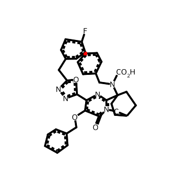 O=C(O)N(Cc1ccccc1)C12CCC(CC1)Cn1c2nc(-c2nnc(Cc3ccc(F)cc3)o2)c(OCc2ccccc2)c1=O